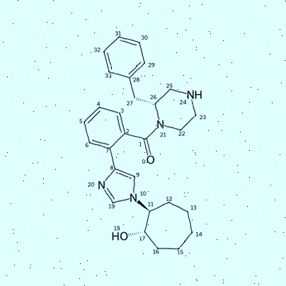 O=C(c1ccccc1-c1cn([C@H]2CCCCC[C@@H]2O)cn1)N1CCNC[C@H]1Cc1ccccc1